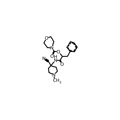 CN1CCC(C#N)(NC(=O)C(Cc2ccccc2)OC(=O)N2CCOCC2)CC1